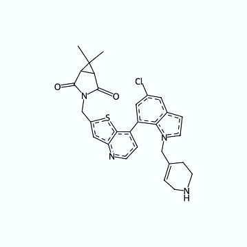 CC1(C)C2C(=O)N(Cc3cc4nccc(-c5cc(Cl)cc6ccn(CC7=CCNCC7)c56)c4s3)C(=O)C21